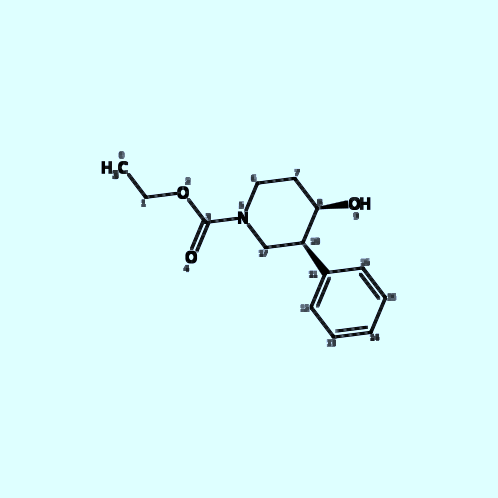 CCOC(=O)N1CC[C@@H](O)[C@@H](c2ccccc2)C1